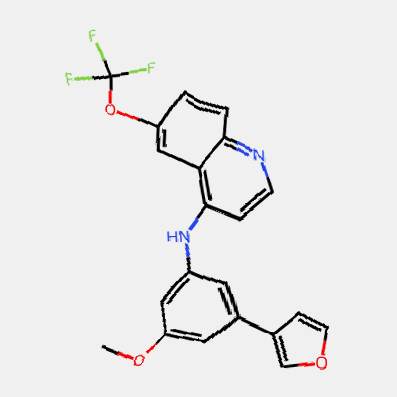 COc1cc(Nc2ccnc3ccc(OC(F)(F)F)cc23)cc(-c2ccoc2)c1